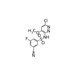 COc1cc(Cl)nnc1NS(=O)(=O)c1cc(F)cc(C#N)c1